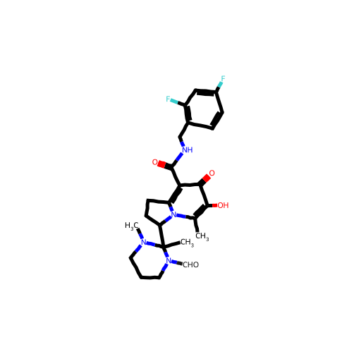 Cc1c(O)c(=O)c(C(=O)NCc2ccc(F)cc2F)c2n1C(C1(C)N(C)CCCN1C=O)CC2